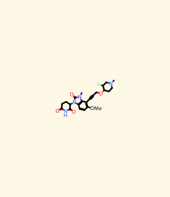 COc1ccc2c(c1C#CCOC1CCN(C)CC1F)n(C)c(=O)n2C1CCC(=O)NC1=O